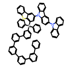 c1ccc(-c2cccc(-c3cccc(-c4cccc(-c5cccc(-c6cccc([Si](c7ccccc7)(c7ccccc7)c7cc(-n8c9ccccc9c9cc(-n%10c%11ccccc%11c%11ccccc%11%10)ccc98)cc8c7sc7ccccc78)c6)c5)c4)c3)c2)cc1